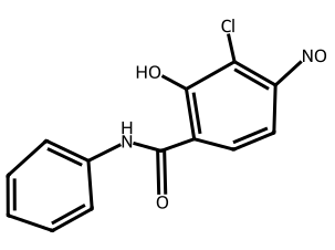 O=Nc1ccc(C(=O)Nc2ccccc2)c(O)c1Cl